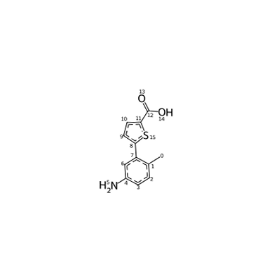 Cc1ccc(N)cc1-c1ccc(C(=O)O)s1